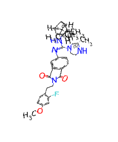 COc1ccc(CCN2C(=O)c3ccc(N=C(N[C@H]4C[C@@H]5C[C@@H]([C@H]4C)C5(C)C)N4CCN[C@@H](C)C4)cc3C2=O)c(F)c1